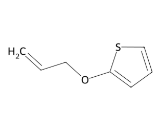 C=CCOc1cccs1